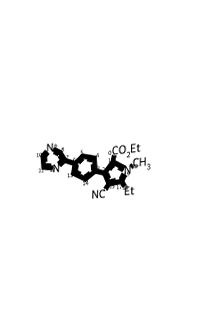 CCOC(=O)c1c(-c2ccc(-c3cnccn3)cc2)c(C#N)c(CC)n1C